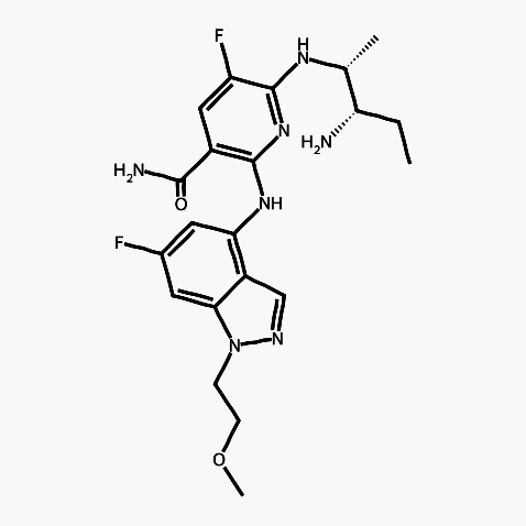 CC[C@H](N)[C@@H](C)Nc1nc(Nc2cc(F)cc3c2cnn3CCOC)c(C(N)=O)cc1F